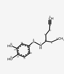 C#CCCC(CC)NSc1ccc(O)c(O)c1